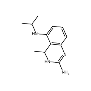 CC(C)Nc1cccc2c1C(C)NC(N)=N2